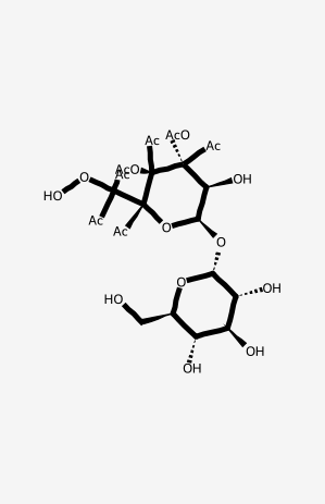 CC(=O)O[C@@]1(C(C)=O)[C@@](OC(C)=O)(C(C)=O)[C@@H](O)[C@@H](O[C@H]2O[C@H](CO)[C@@H](O)[C@H](O)[C@H]2O)O[C@]1(C(C)=O)C(OO)(C(C)=O)C(C)=O